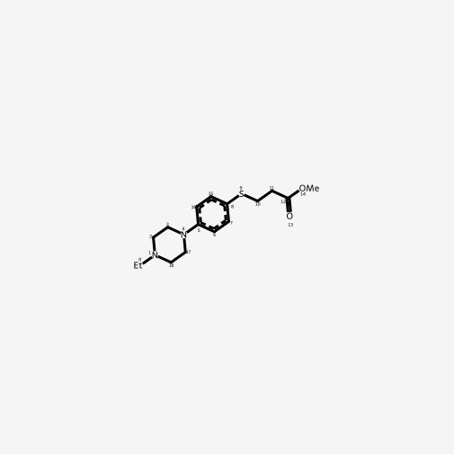 CCN1CCN(c2ccc(SCCC(=O)OC)cc2)CC1